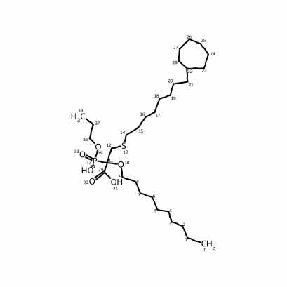 CCCCCCCCCCOC(CSCCCCCCCCC1CCCCCC1)(C(=O)O)P(=O)(O)OCCC